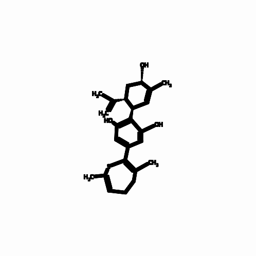 C=C(C)[C@@H]1C[C@H](O)C(C)=C[C@H]1c1c(O)cc(C2=C(C)CCC=C(C)S2)cc1O